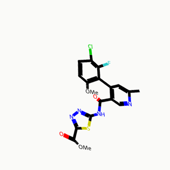 COC(=O)c1nnc(NC(=O)c2cnc(C)cc2-c2c(OC)ccc(Cl)c2F)s1